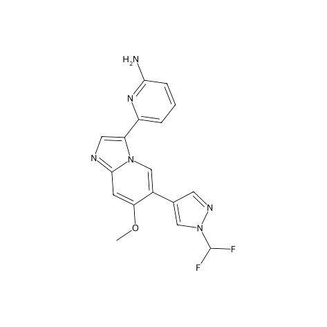 COc1cc2ncc(-c3cccc(N)n3)n2cc1-c1cnn(C(F)F)c1